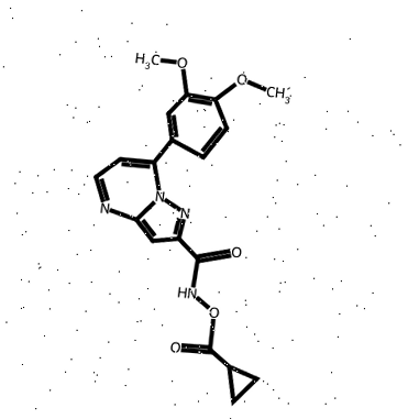 COc1ccc(-c2ccnc3cc(C(=O)NOC(=O)C4CC4)nn23)cc1OC